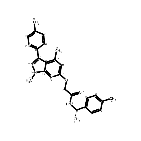 Cc1ccc([C@H](C)NC(=O)COc2cc(C)c3c(-c4ccc(C)cn4)nn(C)c3n2)cc1